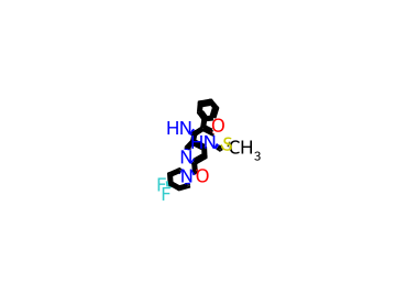 CSCNc1cc(C(=O)N2CCC(F)(F)CC2)ncc1C(=N)c1coc2ccccc12